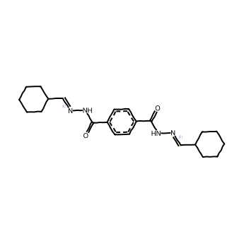 O=C(N/N=C/C1CCCCC1)c1ccc(C(=O)N/N=C/C2CCCCC2)cc1